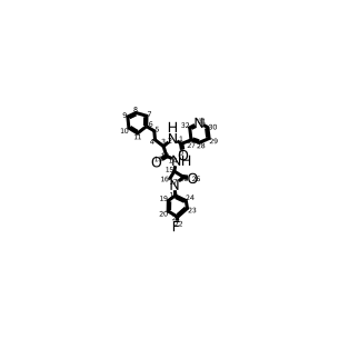 O=C(NC(CCc1ccccc1)C(=O)NC1CN(c2ccc(F)cc2)C1=O)c1cccnc1